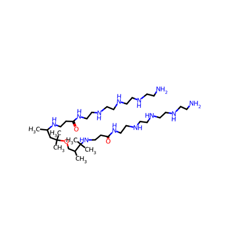 CC(CC(C)(C)OCC(C)C(C)(C)NCCC(=O)NCCNCCNCCNCCN)NCCC(=O)NCCNCCNCCNCCN